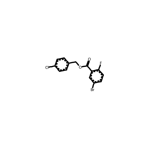 O=C(OCc1ccc(Cl)cc1)c1cc(Br)ccc1F